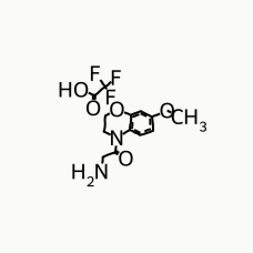 COc1ccc2c(c1)OCCN2C(=O)CN.O=C(O)C(F)(F)F